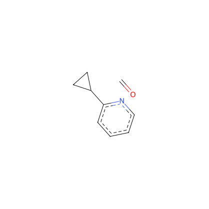 C=O.c1ccc(C2CC2)nc1